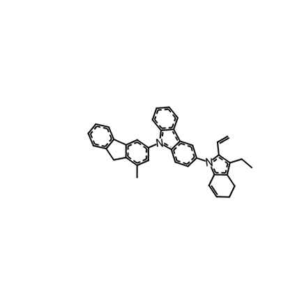 C=Cc1c(CC)c2c(n1-c1ccc3c(c1)c1ccccc1n3-c1cc(C)c3c(c1)-c1ccccc1C3)C=CCC2